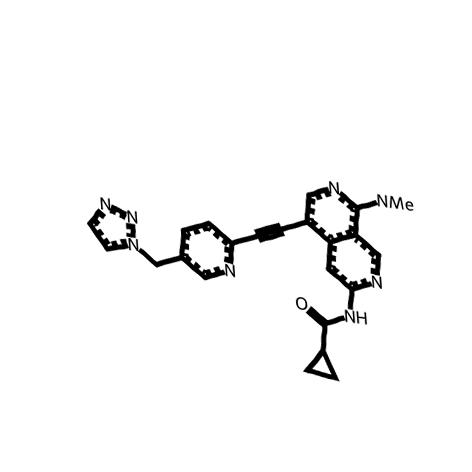 CNc1ncc(C#Cc2ccc(Cn3ccnn3)cn2)c2cc(NC(=O)C3CC3)ncc12